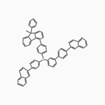 CC1(c2ccccc2)c2ccccc2-c2c(-c3ccc(N(c4ccc(-c5ccc6ccccc6c5)cc4)c4cccc(-c5ccc(-c6ccc7ccccc7c6)cc5)c4)cc3)cccc21